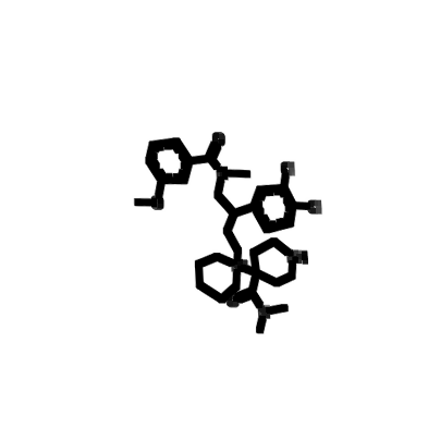 COc1cccc(C(=O)N(C)CC(CC[N+]2(C3(C(=O)N(C)C)CCNCC3)CCCCC2)c2ccc(Cl)c(Cl)c2)c1